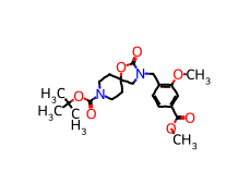 COC(=O)c1ccc(CN2CC3(CCN(C(=O)OC(C)(C)C)CC3)OC2=O)c(OC)c1